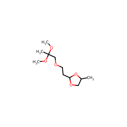 COC(C)(COCCC1OCC(C)O1)OC